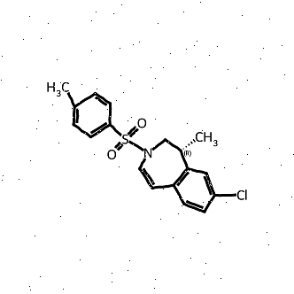 Cc1ccc(S(=O)(=O)N2C=Cc3ccc(Cl)cc3[C@@H](C)C2)cc1